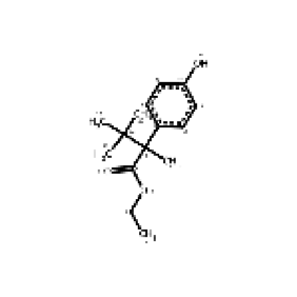 CCOC(=O)C(C)(c1ccc(O)cc1)C(C)(C)C